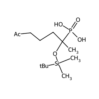 CC(=O)CCCC(C)(O[Si](C)(C)C(C)(C)C)P(=O)(O)O